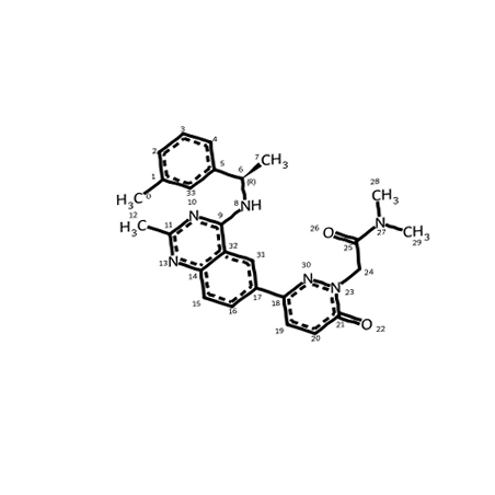 Cc1cccc([C@@H](C)Nc2nc(C)nc3ccc(-c4ccc(=O)n(CC(=O)N(C)C)n4)cc23)c1